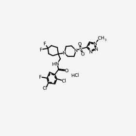 Cl.Cn1cc(S(=O)(=O)N2CCN(C3(CNC(=O)c4cc(F)c(Cl)cc4Cl)CCC(F)(F)CC3)CC2)nn1